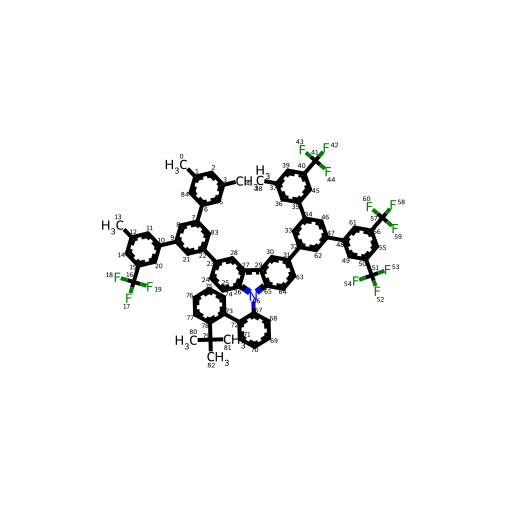 Cc1cc(C)cc(-c2cc(-c3cc(C)cc(C(F)(F)F)c3)cc(-c3ccc4c(c3)c3cc(-c5cc(-c6cc(C)cc(C(F)(F)F)c6)cc(-c6cc(C(F)(F)F)cc(C(F)(F)F)c6)c5)ccc3n4-c3ccccc3-c3ccccc3C(C)(C)C)c2)c1